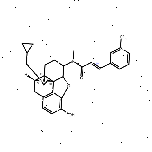 CN(C(=O)/C=C/c1cccc(C(F)(F)F)c1)C1CC[C@@]2(C)[C@H]3Cc4ccc(O)c5c4[C@@]2(CCN3CC2CC2)C1O5